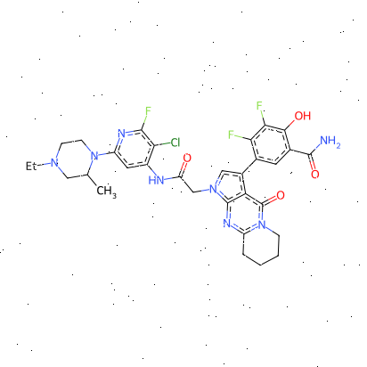 CCN1CCN(c2cc(NC(=O)Cn3cc(-c4cc(C(N)=O)c(O)c(F)c4F)c4c(=O)n5c(nc43)CCCC5)c(Cl)c(F)n2)C(C)C1